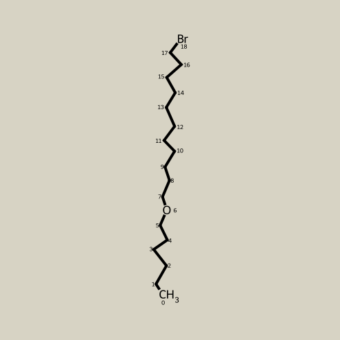 CCCCCCOCCCCCCCCCCCBr